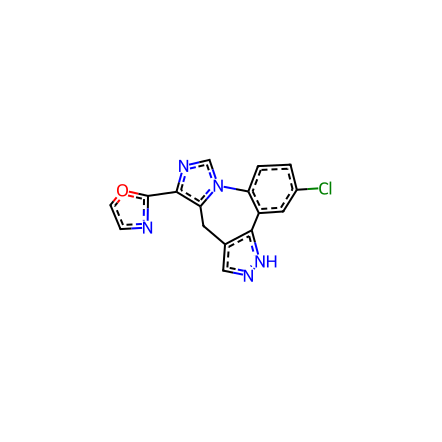 Clc1ccc2c(c1)-c1[nH]ncc1Cc1c(-c3ncco3)ncn1-2